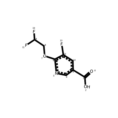 O=C(O)c1cnc(OCC(F)F)c(F)c1